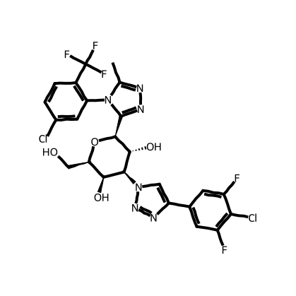 Cc1nnc([C@@H]2O[C@H](CO)[C@H](O)[C@H](n3cc(-c4cc(F)c(Cl)c(F)c4)nn3)[C@H]2O)n1-c1cc(Cl)ccc1C(F)(F)F